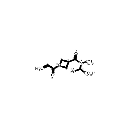 C=CC(=O)N1CC(C(=O)N(C)C(C(=O)O)C(C)C)C1